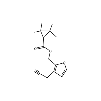 C#CCc1ccoc1COC(=O)C1C(C)(C)C1(C)C